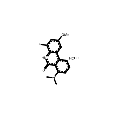 COc1cc(F)c2[nH]c(=O)c3c(N(C)C)cccc3c2c1.Cl.Cl